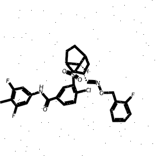 O=C(Nc1cc(F)c(F)c(F)c1)c1ccc(Cl)c(S(=O)(=O)[C@H]2C3CCC2C[C@H](/C=N/OCc2ccccc2F)C3)c1